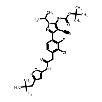 CC(C)n1nc(-c2ccc(CC(=O)Nc3cc(CC(C)(C)C)no3)c(Cl)c2F)c(C#N)c1NC(=O)OC(C)(C)C